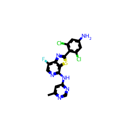 Cc1cc(Nc2ncc(F)c3nc(-c4c(Cl)cc(N)cc4Cl)sc23)ncn1